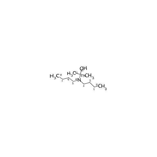 CCCCN(CCCC)C(C)(C)O